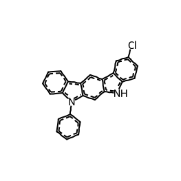 Clc1ccc2[nH]c3cc4c(cc3c2c1)c1ccccc1n4-c1ccccc1